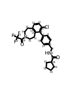 O=C(NCc1ccc(-c2c(Cl)ccc3c2CCN(C(=O)C(F)(F)F)CC3)cc1)C1CCCC1